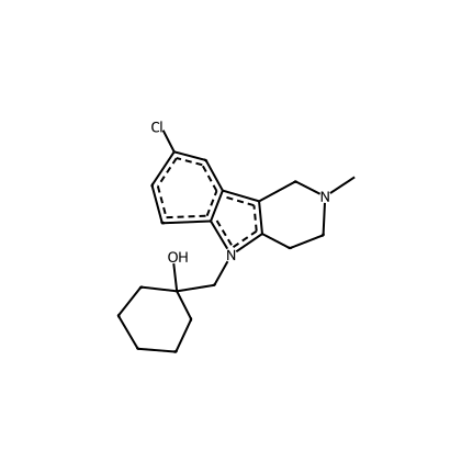 CN1CCc2c(c3cc(Cl)ccc3n2CC2(O)CCCCC2)C1